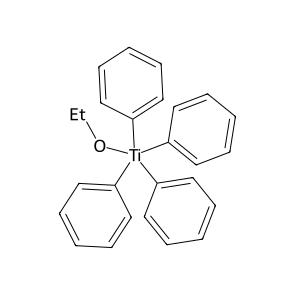 CC[O][Ti]([c]1ccccc1)([c]1ccccc1)([c]1ccccc1)[c]1ccccc1